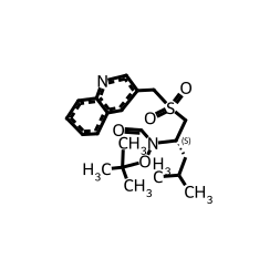 CC(C)C[C@@H](CS(=O)(=O)Cc1cnc2ccccc2c1)N(C=O)OC(C)(C)C